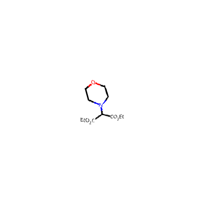 CCOC(=O)C(C(=O)OCC)N1CCOCC1